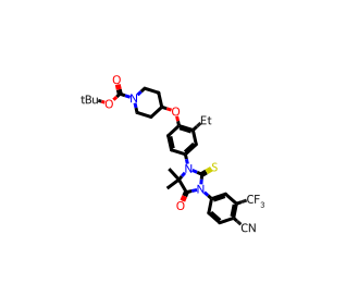 CCc1cc(N2C(=S)N(c3ccc(C#N)c(C(F)(F)F)c3)C(=O)C2(C)C)ccc1OC1CCN(C(=O)OC(C)(C)C)CC1